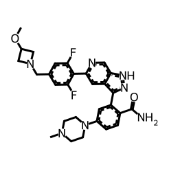 COC1CN(Cc2cc(F)c(-c3cc4c(-c5cc(N6CCN(C)CC6)ccc5C(N)=O)n[nH]c4cn3)c(F)c2)C1